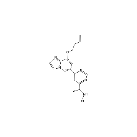 C=CCCOc1cc(-c2cc(C(C)NCC)ncn2)cn2ccnc12